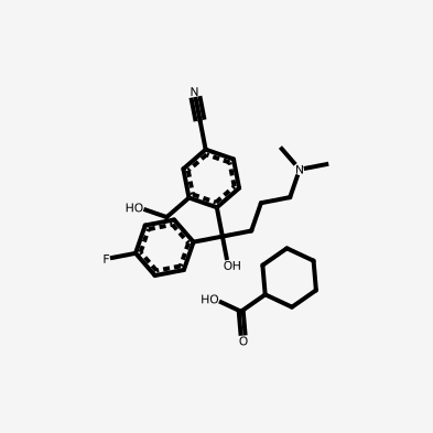 CN(C)CCCC(O)(c1ccc(F)cc1)c1ccc(C#N)cc1CO.O=C(O)C1CCCCC1